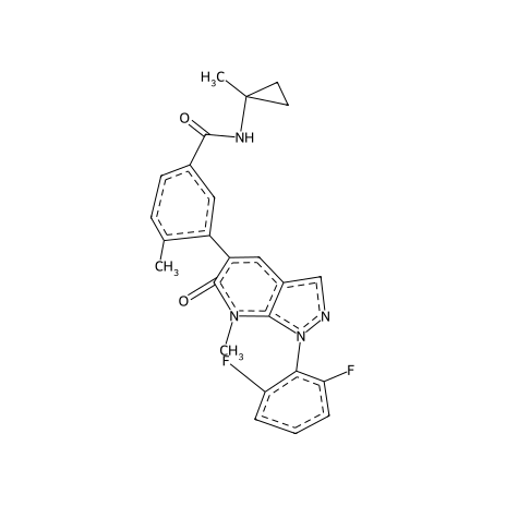 Cc1ccc(C(=O)NC2(C)CC2)cc1-c1cc2cnn(-c3c(F)cccc3F)c2n(C)c1=O